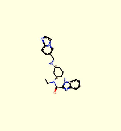 CCN(C(=O)c1nc2ccccc2[nH]1)[C@H]1CCC[C@@H](NCc2ccc3nccn3c2)C1